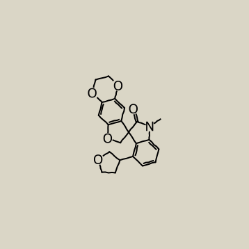 CN1C(=O)C2(COc3cc4c(cc32)OCCO4)c2c(C3CCOC3)cccc21